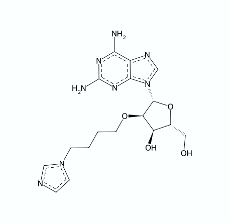 Nc1nc(N)c2ncn([C@@H]3O[C@H](CO)[C@@H](O)[C@H]3OCCCCn3ccnc3)c2n1